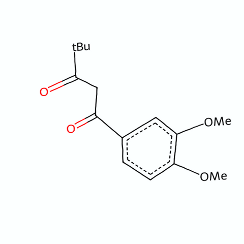 COc1ccc(C(=O)CC(=O)C(C)(C)C)cc1OC